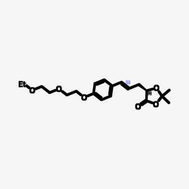 CCOCCOCCOc1ccc(/C=C/C[C@H]2OC(C)(C)OC2=O)cc1